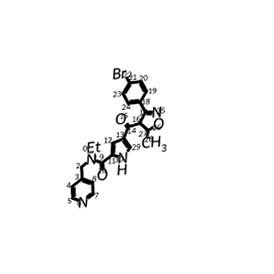 CCN(Cc1ccncc1)C(=O)c1cc(C(=O)C2C(c3ccc(Br)cc3)=NOC2C)c[nH]1